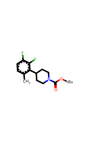 Cc1ccc(F)c(F)c1C1CCN(C(=O)OC(C)(C)C)CC1